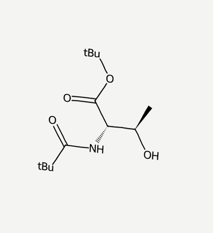 C[C@@H](O)[C@H](NC(=O)C(C)(C)C)C(=O)OC(C)(C)C